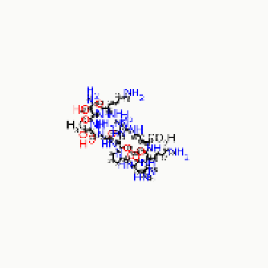 C[C@H](O)[C@H](NC(=O)[C@@H](NC(=O)[C@@H](N)CCCCN)[C@@H](O)CN)C(=O)NCC(=O)N[C@H](CCCN)C(=O)N1CCC[C@H]1C(=O)N[C@@H](Cc1cnc[nH]1)C(=O)N[C@@H](CCCCN)C(=O)NC(CCCNC(=N)N)C(=O)O